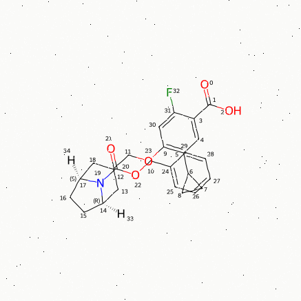 O=C(O)c1cc(C2CC2)c(OCC2C[C@H]3CC[C@@H](C2)N3C(=O)OCc2ccccc2)cc1F